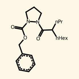 CCCCCCC(CCC)C(=O)N1CCCN1C(=O)OCc1ccccc1